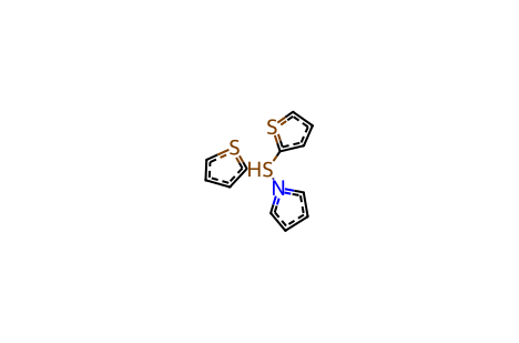 c1csc([SH](c2cccs2)n2cccc2)c1